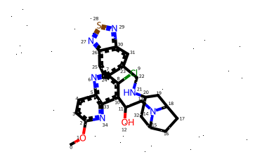 COc1ccc2ncc(Cl)c(C(O)CN3C4CCC3CC(NCc3ccc5nsnc5c3)C4)c2n1